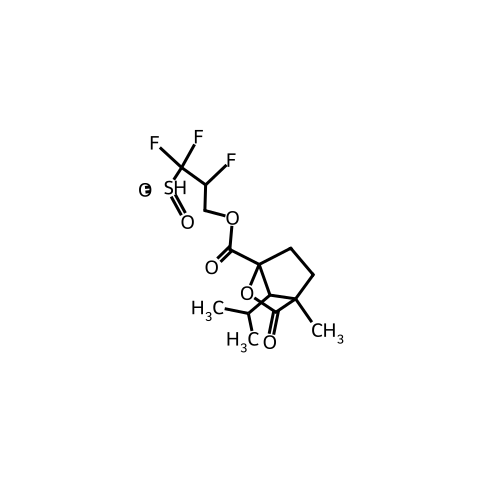 CC(C)C1C2(C)CCC1(C(=O)OCC(F)C(F)(F)[SH](=O)=O)OC2=O